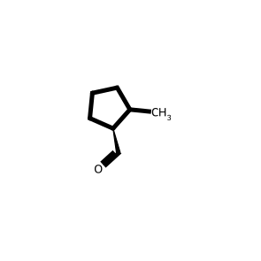 CC1CCC[C@@H]1C=O